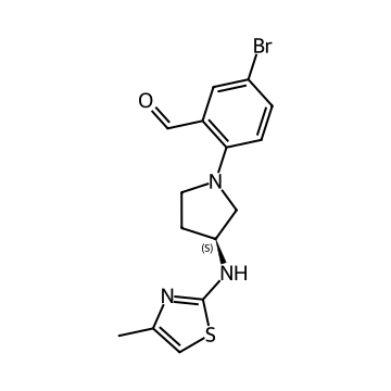 Cc1csc(N[C@H]2CCN(c3ccc(Br)cc3C=O)C2)n1